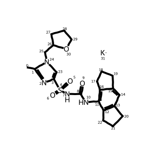 Cc1nc(S(=O)(=O)NC(=O)Nc2c3c(cc4c2CCC4)CCC3)cn1CC1CCCO1.[K]